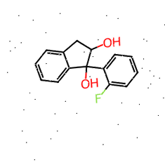 OC1Cc2ccccc2C1(O)c1ccccc1F